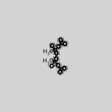 Cc1c(-c2ccccc2)n(-c2ccc(-n3c4ccccc4c4ccccc43)cc2)c2ccc(-c3ccc4c(c3)c(C)c(-c3ccccc3)n4-c3ccc(-n4c5ccccc5c5ccccc54)cc3)cc12